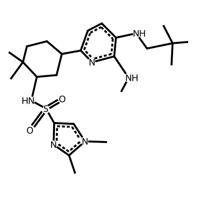 CNc1nc(C2CCC(C)(C)C(NS(=O)(=O)c3cn(C)c(C)n3)C2)ccc1NCC(C)(C)C